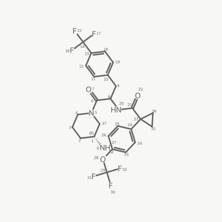 N[C@@H]1CCCN(C(=O)C(Cc2ccc(C(F)(F)F)cc2)NC(=O)C2(c3ccc(OC(F)(F)F)cc3)CC2)C1